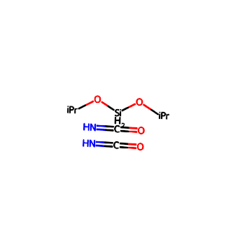 CC(C)O[SiH2]OC(C)C.N=C=O.N=C=O